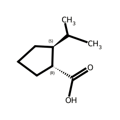 CC(C)[C@@H]1CCC[C@H]1C(=O)O